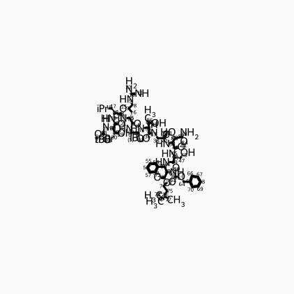 CC[C@H](C)[C@H](NC(=O)[C@@H](CCCNC(=N)N)NC(=O)[C@H](CC(C)C)NC(=O)[C@@H](NC(=O)OC(C)(C)C)[C@H](O)C(C)C)C(=O)NC(C(=O)NCC(=O)N[C@H](C(=O)N[C@@H](CO)C(=O)N[C@H](c1ccccc1)[C@H](NC(=O)OCc1ccccc1)C(=O)OCC[Si](C)(C)C)[C@H](O)C(N)=O)[C@H](C)O